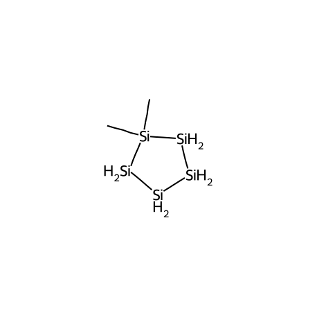 C[Si]1(C)[SiH2][SiH2][SiH2][SiH2]1